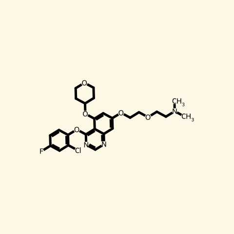 CN(C)CCOCCOc1cc(OC2CCOCC2)c2c(Oc3ccc(F)cc3Cl)ncnc2c1